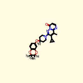 [2H]C1(Oc2ccc3c(c2)OC([2H])([2H])C([2H])([2H])O3)CCN(c2nn3c(=O)ccnc3c(C)c2C2CC2)CC1